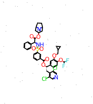 CN1C2CCC1CC(OC(=O)C(NS(=O)(=O)c1cccc(C(=O)O[C@@H](Cc3c(Cl)cncc3Cl)c3ccc(OC(F)F)c(OCC4CC4)c3)c1)c1ccccc1)C2